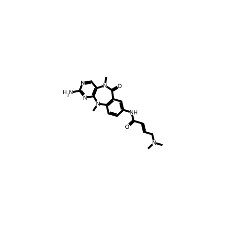 CN(C)C/C=C/C(=O)Nc1ccc2c(c1)C(=O)N(C)c1cnc(N)nc1N2C